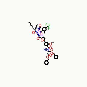 CCCCC[C@@H](C(=O)NCNC(=O)c1ccc(-c2ccc(C(=O)N[C@@H](CC(=O)OCc3ccccc3)C(=O)OCc3ccccc3)c(OCC)c2)o1)[C@@H](CC)N(C=O)OC(=O)c1ccc(C(F)(F)F)cc1C